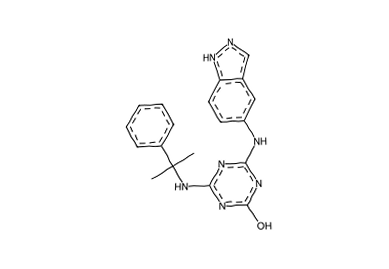 CC(C)(Nc1nc(O)nc(Nc2ccc3[nH]ncc3c2)n1)c1ccccc1